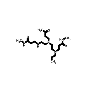 CCCN(CCC(=O)NC)CCN(CCNCCC(=O)NC)CCC(C)=O